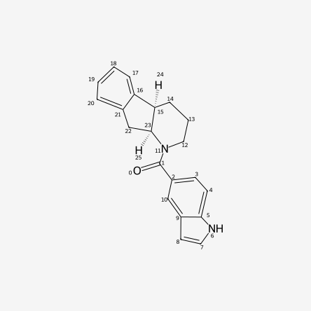 O=C(c1ccc2[nH]ccc2c1)N1CCC[C@@H]2c3ccccc3C[C@@H]21